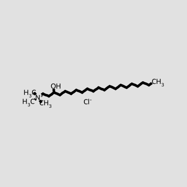 CCCCCCCCCCCCCCCCCCC(O)CC[N+](C)(C)C.[Cl-]